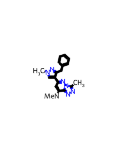 CNc1cc(-c2cn(C)nc2Cc2ccccc2)nn2c(C)nnc12